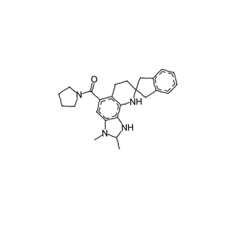 CC1Nc2c(cc(C(=O)N3CCCC3)c3c2NC2(CC3)Cc3ccccc3C2)N1C